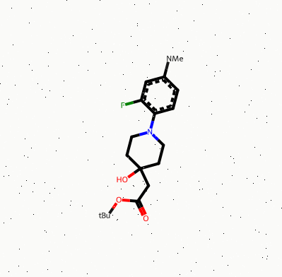 CNc1ccc(N2CCC(O)(CC(=O)OC(C)(C)C)CC2)c(F)c1